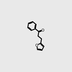 O=C(CCc1ccco1)c1ccccc1